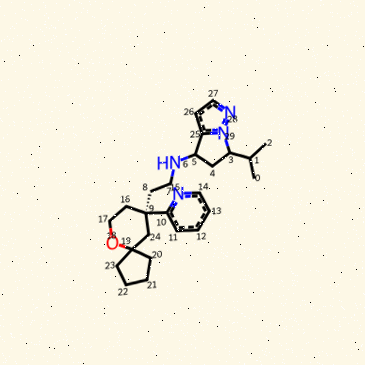 CC(C)C1CC(NCC[C@@]2(c3ccccn3)CCOC3(CCCC3)C2)c2ccnn21